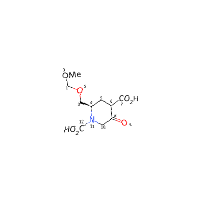 COCOC[C@H]1CC(C(=O)O)C(=O)CN1C(=O)O